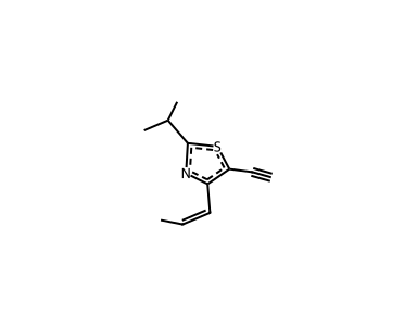 C#Cc1sc(C(C)C)nc1/C=C\C